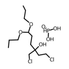 CCCOC(CCC(O)(CCl)CCCl)OCCC.O=[PH](O)O